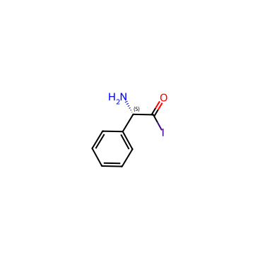 N[C@H](C(=O)I)c1ccccc1